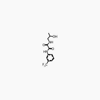 CC(O)CNC(=O)C(=O)Nc1cccc(C(F)(F)F)c1